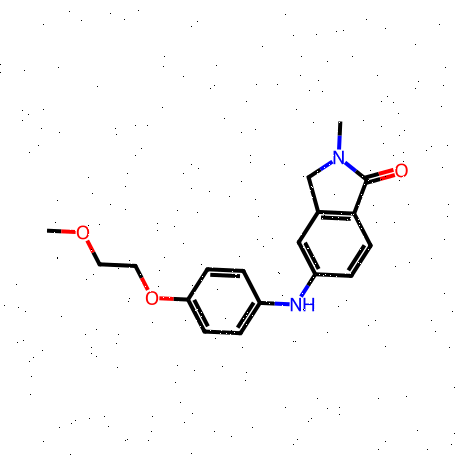 COCCOc1ccc(Nc2ccc3c(c2)CN(C)C3=O)cc1